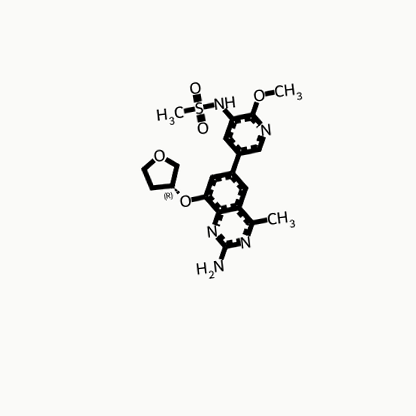 COc1ncc(-c2cc(O[C@@H]3CCOC3)c3nc(N)nc(C)c3c2)cc1NS(C)(=O)=O